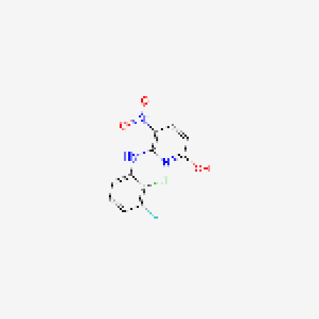 O=[N+]([O-])c1ccc(O)nc1Nc1cccc(F)c1Cl